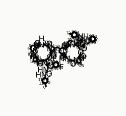 Cc1ccc(NC(=O)N[C@@H](Cc2cc(F)cc(F)c2)C(=O)N[C@H]2COC(=O)[C@@H]3C[C@H](CC4CC[C@H]5C(=O)N[C@@H](C)C(=O)N6C[C@@H](C)C[C@H]6C(=O)OC[C@H](NC(=O)[C@H](Cc6ccccc6)NC(=O)Nc6ccc(C)cc6)C(O)N6CCC[C@H]6C(=O)N5C4)CN3C(=O)[C@H](C)NC(=O)[C@@H]3CCCCN3C(=O)[C@@H]3CCCN3C2=O)cc1